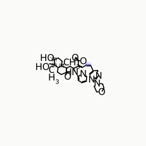 C[C@]12CC[C@@H](O)[C@@](C)(CO)C1CCC1(CO1)C2CC(Nc1ccccn1)C1=C/C(=C\c2cnc(N3CCOCC3)nc2)OC1=O